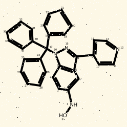 ONc1ccc2c(c1)c(-c1ccncc1)nn2C(c1ccccc1)(c1ccccc1)c1ccccc1